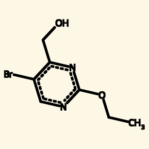 CCOc1ncc(Br)c(CO)n1